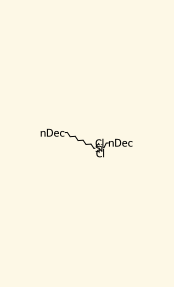 CCCCCCCCCCCCCCCCCC[Si](Cl)(Cl)CCCCCCCCCCCC